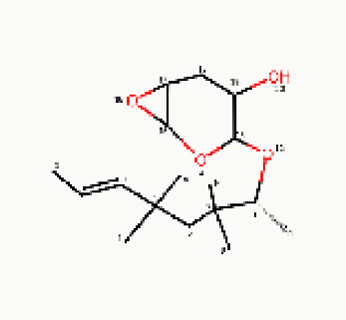 C/C=C/C(C)(C)CC(C)(C)[C@@H](C)OC1OC2OC2CC1O